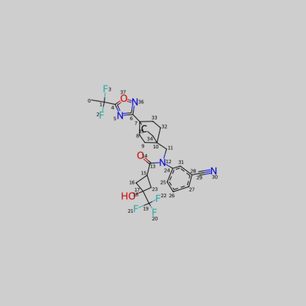 CC(F)(F)c1nc(C23CCC(CN(C(=O)C4CC(O)(C(F)(F)F)C4)c4cccc(C#N)c4)(CC2)CC3)no1